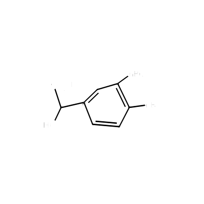 CCCCc1ccc(C(O)C(=O)O)cc1CCCC